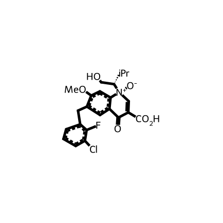 COc1cc2c(cc1Cc1cccc(Cl)c1F)C(=O)C(C(=O)O)=C[N+]2([O-])[C@H](CO)C(C)C